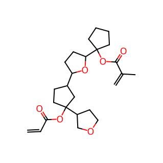 C=CC(=O)OC1(C2CCOC2)CCC(C2CCC(C3(OC(=O)C(=C)C)CCCC3)O2)C1